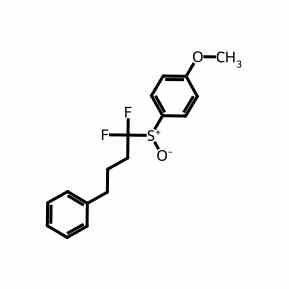 COc1ccc([S+]([O-])C(F)(F)CCCc2ccccc2)cc1